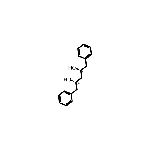 O[C@@H](Cc1ccccc1)C[C@@H](O)Cc1ccccc1